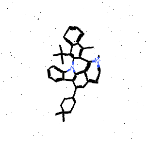 Cc1c2ccccc2c(C(C)(C)C)c2c1c1c3c(cc[n+]1C)cc(C1CCC(C)(C)CC1)c1c4ccccc4n2c13